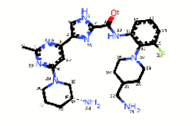 Cc1nc(-c2c[nH]c(C(=O)Nc3cccc(F)c3N3CCC(CN)CC3)n2)cc(N2CCC[C@@H](N)C2)n1